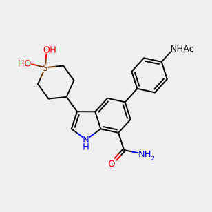 CC(=O)Nc1ccc(-c2cc(C(N)=O)c3[nH]cc(C4CCS(O)(O)CC4)c3c2)cc1